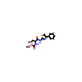 CC(C)CC(NC(=O)OC(C)(C)C)C(=O)Nc1nc(-c2ccccc2)cs1